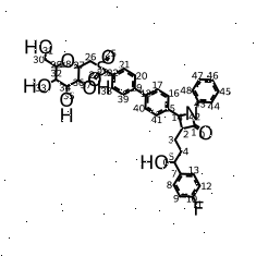 O=C1C(CCC(O)c2ccc(F)cc2)C(c2ccc(-c3ccc(S(=O)(=O)CC4OC(CO)C(O)C(O)C4O)cc3)cc2)N1c1ccccc1